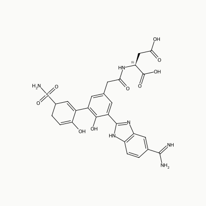 N=C(N)c1ccc2[nH]c(-c3cc(CC(=O)N[C@@H](CC(=O)O)C(=O)O)cc(C4=CC(S(N)(=O)=O)CC=C4O)c3O)nc2c1